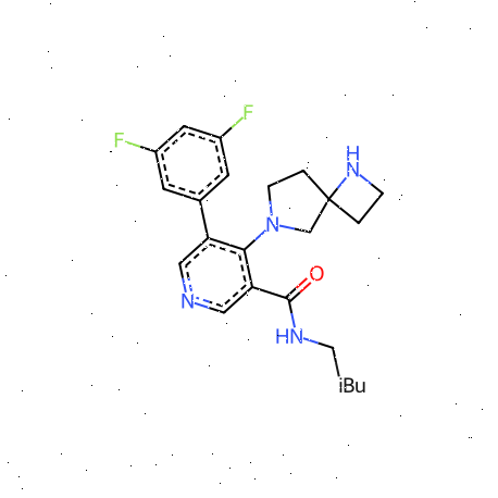 CCC(C)CNC(=O)c1cncc(-c2cc(F)cc(F)c2)c1N1CCC2(CCN2)C1